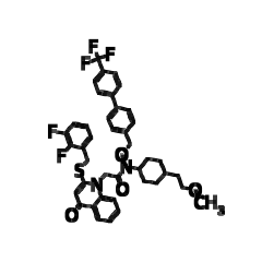 COCCC1CCC(N(OCc2ccc(-c3ccc(C(F)(F)F)cc3)cc2)C(=O)Cn2c(SCc3cccc(F)c3F)cc(=O)c3ccccc32)CC1